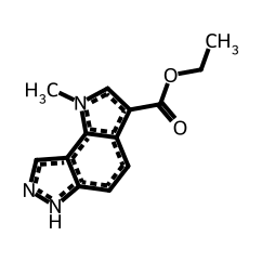 CCOC(=O)c1cn(C)c2c1ccc1[nH]ncc12